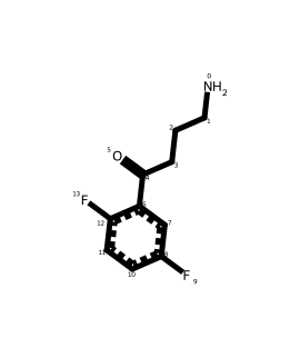 NCCCC(=O)c1cc(F)ccc1F